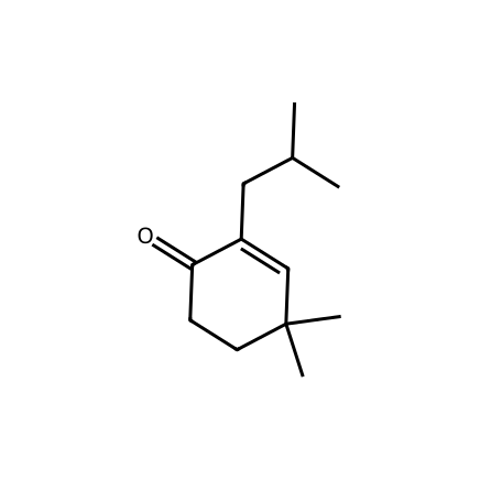 CC(C)CC1=CC(C)(C)CCC1=O